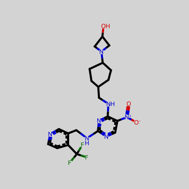 O=[N+]([O-])c1cnc(NCc2cnccc2C(F)(F)F)nc1NCC1CCC(N2CC(O)C2)CC1